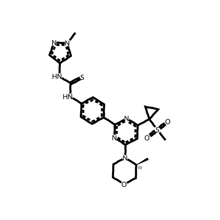 C[C@H]1COCCN1c1cc(C2(S(C)(=O)=O)CC2)nc(-c2ccc(NC(=S)Nc3cnn(C)c3)cc2)n1